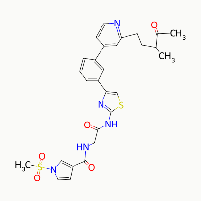 CC(=O)C(C)CCc1cc(-c2cccc(-c3csc(NC(=O)CNC(=O)c4ccn(S(C)(=O)=O)c4)n3)c2)ccn1